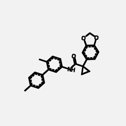 Cc1ccc(-c2cc(NC(=O)C3(c4ccc5c(c4)OCO5)CC3)ccc2C)cc1